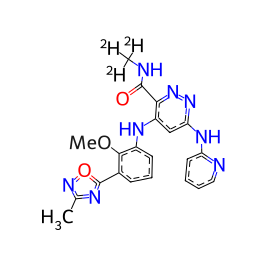 [2H]C([2H])([2H])NC(=O)c1nnc(Nc2ccccn2)cc1Nc1cccc(-c2nc(C)no2)c1OC